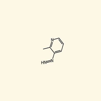 Cc1ncccc1N=N